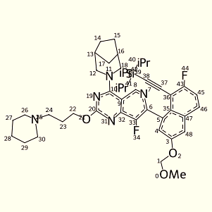 COCOc1cc(-c2ncc3c(N4CC5CCC(C5)C4)nc(OCCCN4CCCCC4)nc3c2F)c2c(C#C[Si](C(C)C)(C(C)C)C(C)C)c(F)ccc2c1